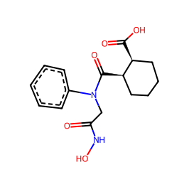 O=C(CN(C(=O)[C@@H]1CCCC[C@@H]1C(=O)O)c1ccccc1)NO